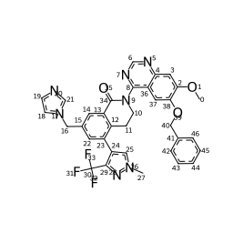 COc1cc2ncnc(N3CCc4c(cc(Cn5ccnc5)cc4-c4cn(C)nc4C(F)(F)F)C3=O)c2cc1OCc1ccccc1